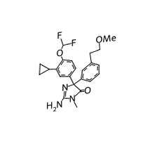 COCCc1cccc(C2(c3ccc(OC(F)F)c(C4CC4)c3)N=C(N)N(C)C2=O)c1